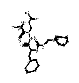 NC(=O)CCN(NC(=O)C(CC1CCCCC1)NC(=O)OCc1ccccc1)C(=O)[C@@H](F)Cl